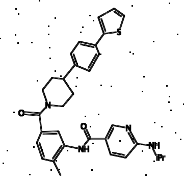 Cc1ccc(C(=O)N2CCC(c3ccc(-c4cccs4)cc3)CC2)cc1NC(=O)c1ccc(NC(C)C)nc1